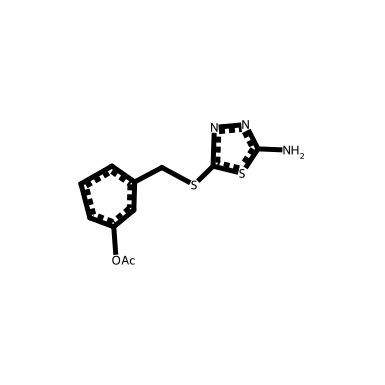 CC(=O)Oc1cccc(CSc2nnc(N)s2)c1